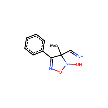 CSC1(C=N)C(c2ccccc2)=NON1O